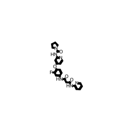 O=C(CC(=O)Nc1ccccn1)Nc1ccc(Oc2ccnc(NC(=O)N3CCCC3)c2)c(F)c1